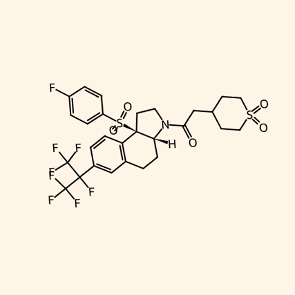 O=C(CC1CCS(=O)(=O)CC1)N1CC[C@@]2(S(=O)(=O)c3ccc(F)cc3)c3ccc(C(F)(C(F)(F)F)C(F)(F)F)cc3CC[C@@H]12